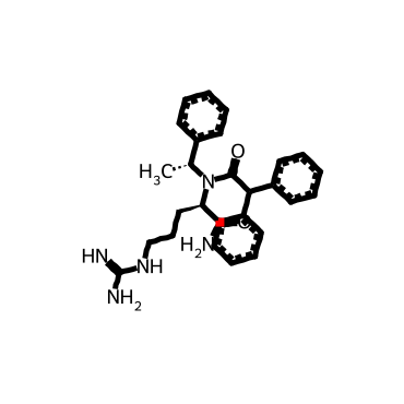 C[C@H](c1ccccc1)N(C(=O)C(c1ccccc1)c1ccccc1)[C@H](CCCNC(=N)N)C(N)=O